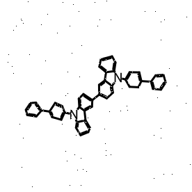 C1=C(c2ccccc2)CCC(n2c3ccccc3c3cc(-c4ccc5c(c4)c4ccccc4n5-c4ccc(-c5ccccc5)cc4)ccc32)=C1